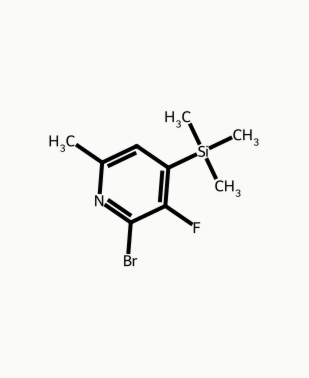 Cc1cc([Si](C)(C)C)c(F)c(Br)n1